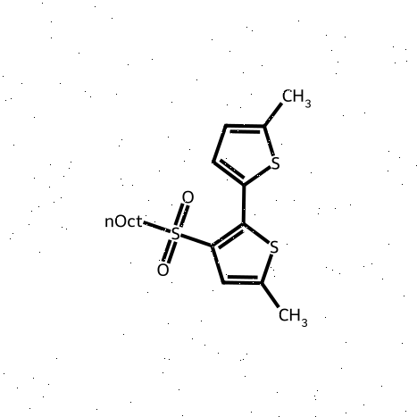 CCCCCCCCS(=O)(=O)c1cc(C)sc1-c1ccc(C)s1